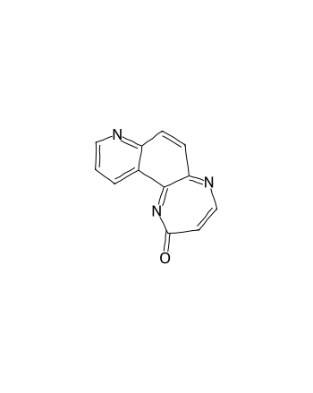 O=c1ccnc2ccc3ncccc3c2n1